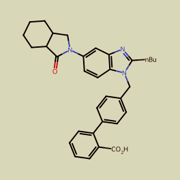 CCCCc1nc2cc(N3CC4CCCCC4C3=O)ccc2n1Cc1ccc(-c2ccccc2C(=O)O)cc1